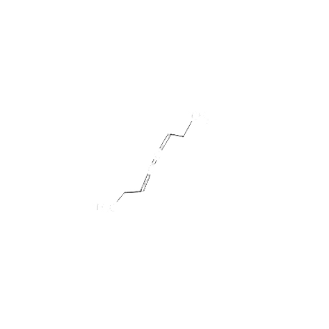 CCC=C=C=CCC